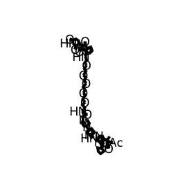 CC(=O)c1c(C)c2cnc(Nc3ccc(N4CCN(CC(=O)NCCOCCOCCOCCOCCOCCNc5cccc6c5C(=O)N(C5CCC(=O)NC5=O)C6=O)CC4)cn3)nc2n(C2CCCC2)c1=O